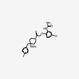 CNC1(Cc2ccc(F)cc2)CCN(C(=O)COc2ccc(Cl)cc2NC(N)=O)CC1